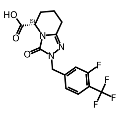 O=C(O)[C@@H]1CCCc2nn(Cc3ccc(C(F)(F)F)c(F)c3)c(=O)n21